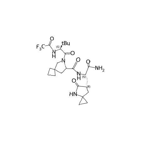 CC(C)(C)[C@H](NC(=O)C(F)(F)F)C(=O)N1CC2(CCC2)CC1C(=O)N[C@@H](C[C@@H]1CC2(CC2)NC1=O)C(N)=O